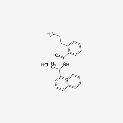 CC(NC(=O)c1ccccc1CCN)c1cccc2ccccc12.Cl